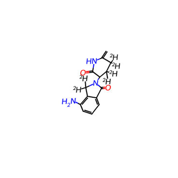 [2H]C1([2H])c2c(N)cccc2C(=O)N1C1C(=O)NC(=C)C([2H])([2H])C1([2H])[2H]